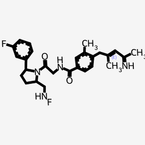 CC(=N)/C=C(\C)Cc1ccc(C(=O)NCC(=O)N2C(CNF)CCC2c2cccc(F)c2)cc1C